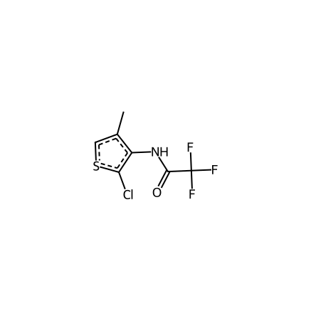 Cc1csc(Cl)c1NC(=O)C(F)(F)F